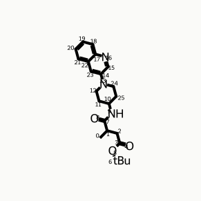 CC(CC(=O)OC(C)(C)C)C(=O)NC1CCN(c2cnc3ccccc3c2)CC1